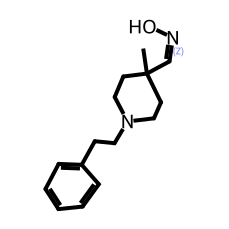 CC1(/C=N\O)CCN(CCc2ccccc2)CC1